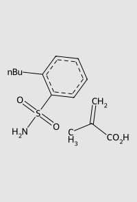 C=C(C)C(=O)O.CCCCc1ccccc1S(N)(=O)=O